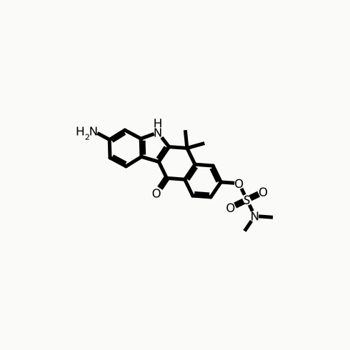 CN(C)S(=O)(=O)Oc1ccc2c(c1)C(C)(C)c1[nH]c3cc(N)ccc3c1C2=O